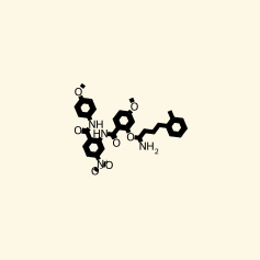 COc1ccc(NC(=O)c2ccc([N+](=O)[O-])cc2NC(=O)c2ccc(OC)cc2OC(N)CCCc2ccccc2C)cc1